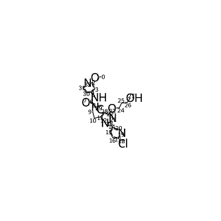 COc1cc(NC(=O)N2CCc3nc(-c4ccc(Cl)nc4)nc(OCCCO)c3C2)ccn1